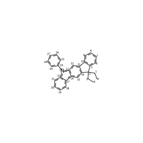 CCC1(CC)c2ccccc2-c2cc3c(cc21)c1ccccc1n3-c1ccccc1